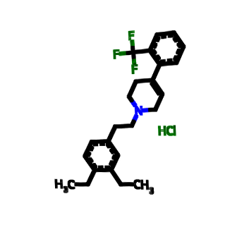 CCc1ccc(CCN2CC=C(c3ccccc3C(F)(F)F)CC2)cc1CC.Cl